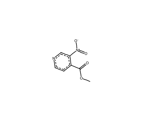 COC(=O)c1ccncc1[N+](=O)[O-]